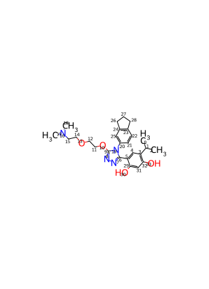 CC(C)c1cc(-c2nnc(OCCOCCN(C)C)n2-c2ccc3c(c2)CCC3)c(O)cc1O